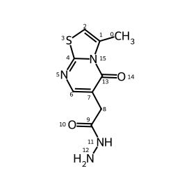 Cc1csc2ncc(CC(=O)NN)c(=O)n12